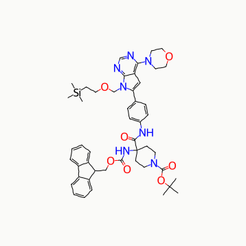 CC(C)(C)OC(=O)N1CCC(NC(=O)OCC2c3ccccc3-c3ccccc32)(C(=O)Nc2ccc(-c3cc4c(N5CCOCC5)ncnc4n3COCC[Si](C)(C)C)cc2)CC1